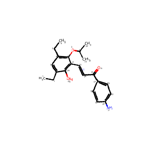 CCc1cc(CC)c(OC(C)C)c(/C=C/C(=O)c2ccc(N)cc2)c1O